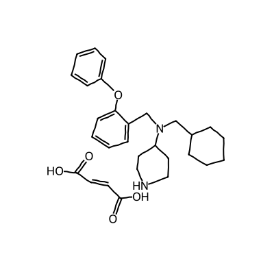 O=C(O)C=CC(=O)O.c1ccc(Oc2ccccc2CN(CC2CCCCC2)C2CCNCC2)cc1